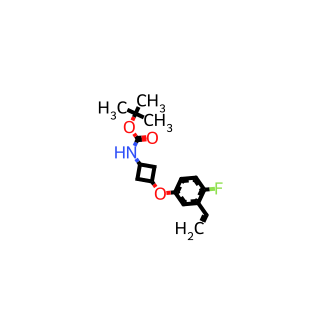 C=Cc1cc(OC2CC(NC(=O)OC(C)(C)C)C2)ccc1F